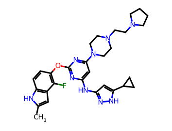 Cc1cc2c(F)c(Oc3nc(Nc4cc(C5CC5)[nH]n4)cc(N4CCN(CCN5CCCC5)CC4)n3)ccc2[nH]1